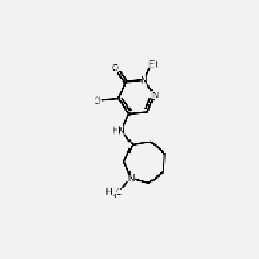 CCn1ncc(NC2CCCCN(C)C2)c(Cl)c1=O